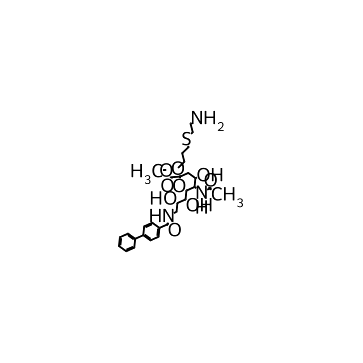 COC(=O)C1(OCCCSCCN)CC(O)C(NC(C)=O)C(C(O)C(O)CNC(=O)c2ccc(-c3ccccc3)cc2)O1